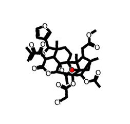 COC(=O)CC1C2(C)CC34OC5(C)OC67C(C(C(=O)C(C)C)C(=O)OC6C3(OC(=O)CCl)C2OC(C)=O)C(C)(C(OC(C)=O)c2ccoc2)CCC7(O5)C14C